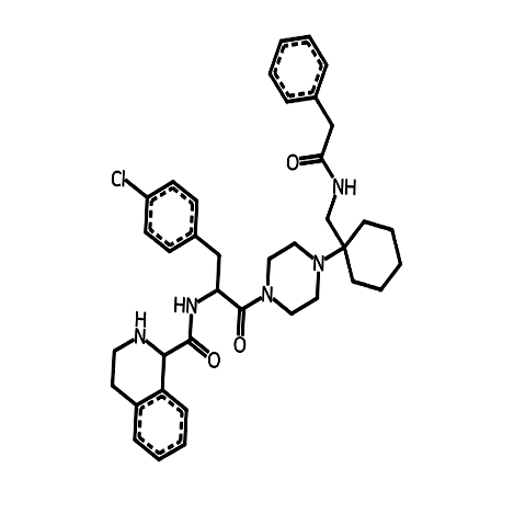 O=C(Cc1ccccc1)NCC1(N2CCN(C(=O)C(Cc3ccc(Cl)cc3)NC(=O)C3NCCc4ccccc43)CC2)CCCCC1